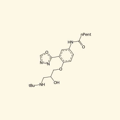 CCCCCC(=O)Nc1ccc(OCC(O)CNC(C)(C)C)c(-c2nnco2)c1